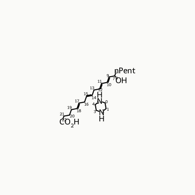 C1CNCCN1.CCCCCC(O)C=CC=CCC=CCC=CCCCC(=O)O